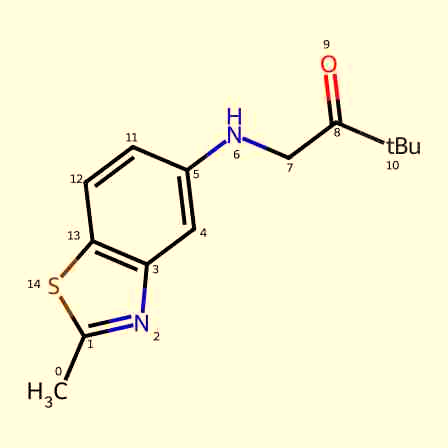 Cc1nc2cc(NCC(=O)C(C)(C)C)ccc2s1